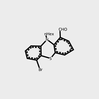 CCCCCCN1c2cccc(Br)c2Sc2cccc(C=O)c21